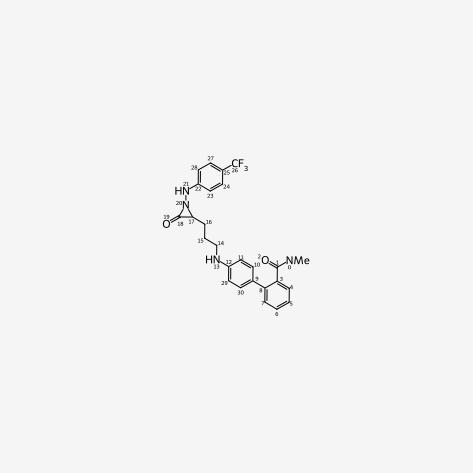 CNC(=O)c1ccccc1-c1ccc(NCCCC2C(=O)N2Nc2ccc(C(F)(F)F)cc2)cc1